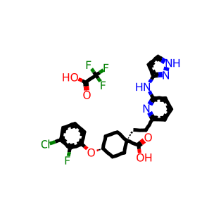 O=C(O)C(F)(F)F.O=C(O)[C@]1(CCc2cccc(Nc3cc[nH]n3)n2)CC[C@@H](Oc2cccc(Cl)c2F)CC1